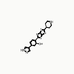 Oc1cc(-c2cn[nH]c2)ccc1-c1nc2sc(C3CCNCC3)nc2s1